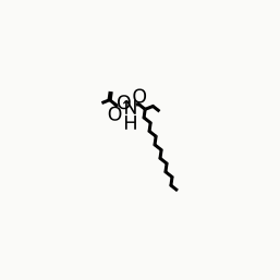 C=C(C)C(=O)ONC(=O)C(CC)CCCCCCCCCCCC